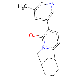 Cc1cncc(-c2ccc3n(c2=O)CC2CCCC3C2)c1